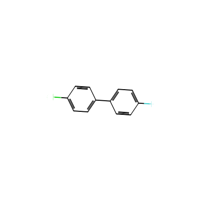 Fc1[c]cc(-c2ccc(Cl)cc2)cc1